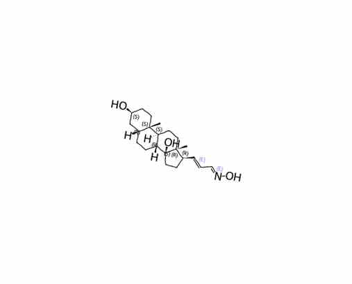 C[C@]12CC[C@H](O)C[C@H]1CC[C@@H]1[C@@H]2CC[C@]2(C)[C@@H](/C=C/C=N/O)CC[C@]12O